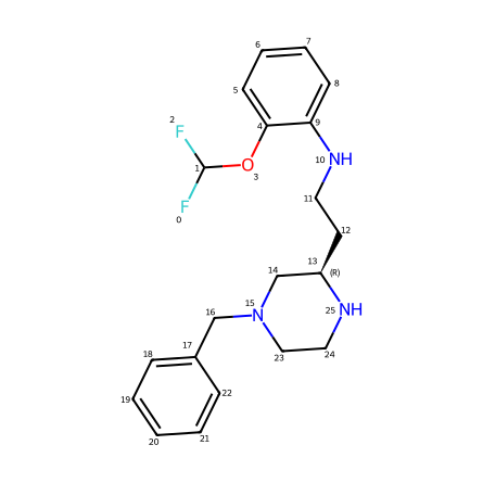 FC(F)Oc1ccccc1NCC[C@@H]1CN(Cc2ccccc2)CCN1